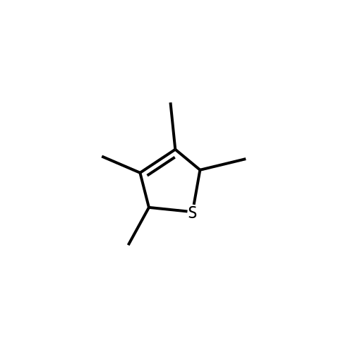 CC1=C(C)C(C)SC1C